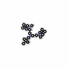 C1=CC2c3ccccc3C3(c4ccccc4-c4ccc(N(c5ccccc5)c5ccc(-c6ccc7c(c6)c6cc(-c8ccc(N(c9ccccc9)c9ccc%10c(c9)C9(c%11ccccc%11-c%11ccccc%119)c9ccccc9-%10)cc8)ccc6n7-c6ccc(-c7c8ccccc8c(-c8ccccc8)c8ccccc78)cc6)cc5)cc43)C2C=C1